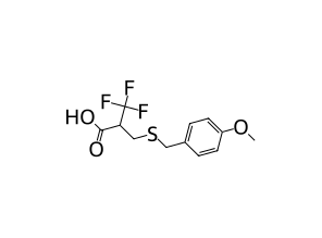 COc1ccc(CSCC(C(=O)O)C(F)(F)F)cc1